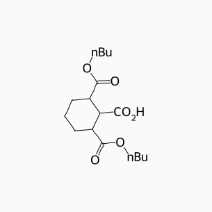 CCCCOC(=O)C1CCCC(C(=O)OCCCC)C1C(=O)O